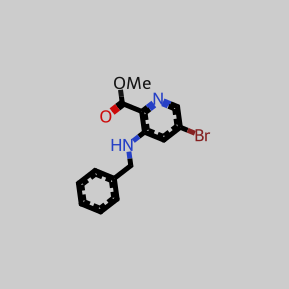 COC(=O)c1ncc(Br)cc1NCc1ccccc1